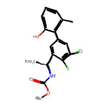 CCOC(=O)[C@H](NC(=O)OC(C)(C)C)c1cc(-c2c(C)cccc2O)cc(Cl)c1F